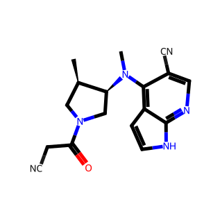 C[C@@H]1CN(C(=O)CC#N)C[C@@H]1N(C)c1c(C#N)cnc2[nH]ccc12